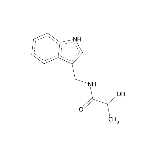 CC(O)C(=O)NCc1c[nH]c2ccccc12